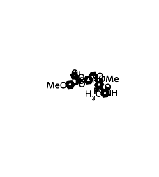 COc1ccc(CN(c2ccon2)S(=O)(=O)c2ccc3c(ccc(=O)n3-c3cc(F)c(-c4c(C)cc[nH]c4=O)cc3OC)c2)cc1